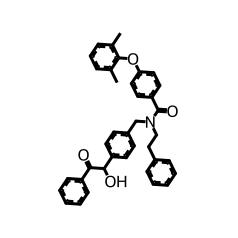 Cc1cccc(C)c1Oc1ccc(C(=O)N(CCc2ccccc2)Cc2ccc(C(O)C(=O)c3ccccc3)cc2)cc1